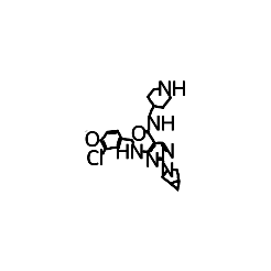 COc1ccc(CNc2nc(N3CC4CC4C3)ncc2C(=O)NCC2CCNCC2)cc1Cl